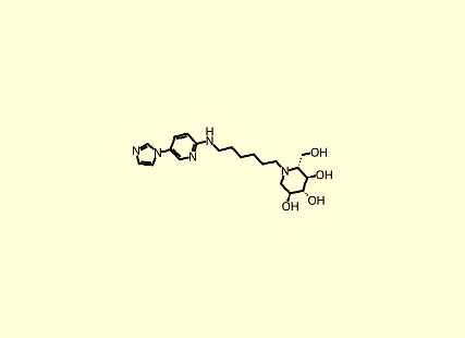 OC[C@@H]1[C@@H](O)[C@H](O)[C@@H](O)CN1CCCCCCNc1ccc(-n2ccnc2)cn1